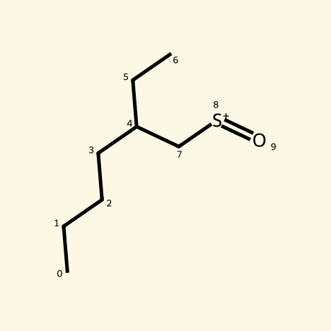 CCCCC(CC)C[S+]=O